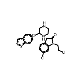 ClC1CNCCN1.O=C1Cc2ccc(Cl)cc2N1CCCl.c1ccc2sncc2c1